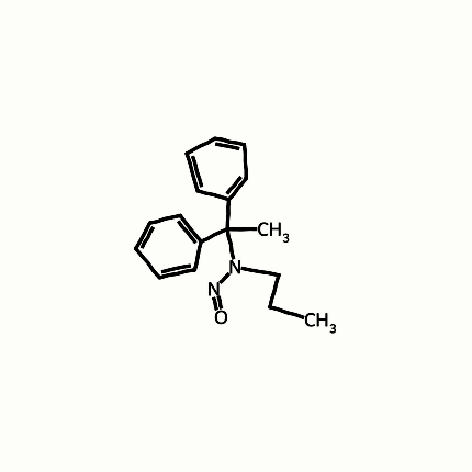 CCCN(N=O)C(C)(c1ccccc1)c1ccccc1